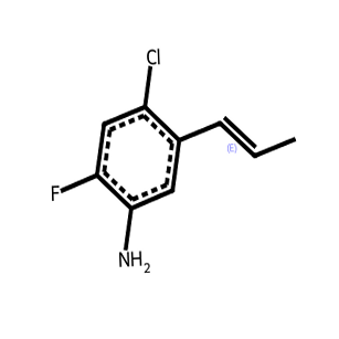 C/C=C/c1cc(N)c(F)cc1Cl